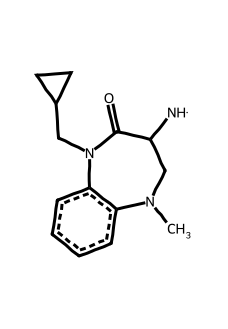 CN1CC([NH])C(=O)N(CC2CC2)c2ccccc21